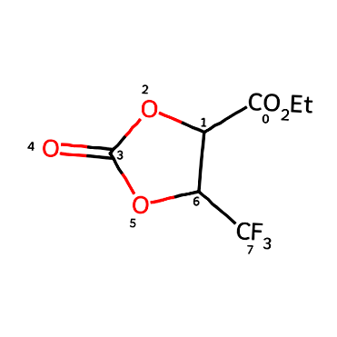 CCOC(=O)C1OC(=O)OC1C(F)(F)F